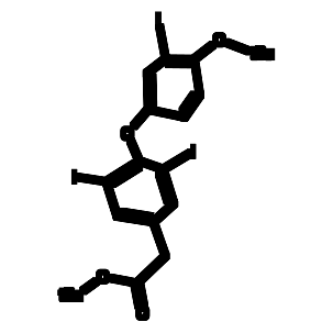 CC(C)(C)OC(=O)Cc1cc(I)c(Oc2ccc(OC(C)(C)C)c(I)c2)c(I)c1